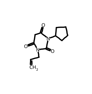 C=CCN1C(=O)CC(=O)N(C2CCCC2)C1=O